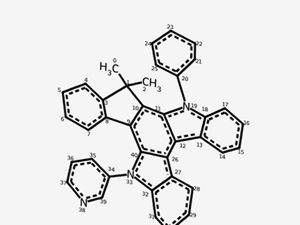 CC1(C)c2ccccc2-c2c1c1c(c3ccccc3n1-c1ccccc1)c1c3ccccc3n(-c3cccnc3)c21